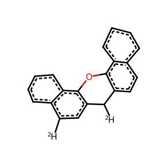 [2H]c1cc2c(c3ccccc13)Oc1c(ccc3ccccc13)C2[2H]